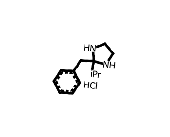 CC(C)C1(Cc2ccccc2)NCCN1.Cl